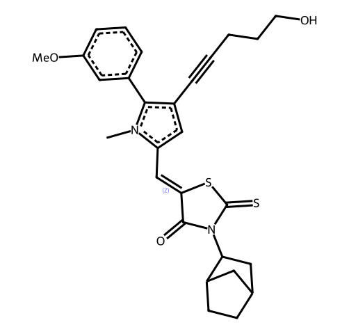 COc1cccc(-c2c(C#CCCCO)cc(/C=C3\SC(=S)N(C4CC5CCC4C5)C3=O)n2C)c1